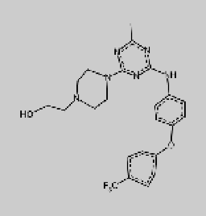 Cc1nc(Nc2ccc(Oc3ccc(C(F)(F)F)cc3)cc2)nc(N2CCN(CCO)CC2)n1